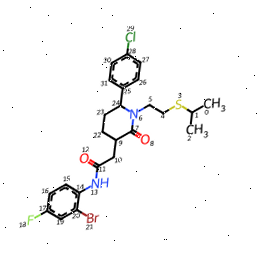 CC(C)SCCN1C(=O)C(CC(=O)Nc2ccc(F)cc2Br)CCC1c1ccc(Cl)cc1